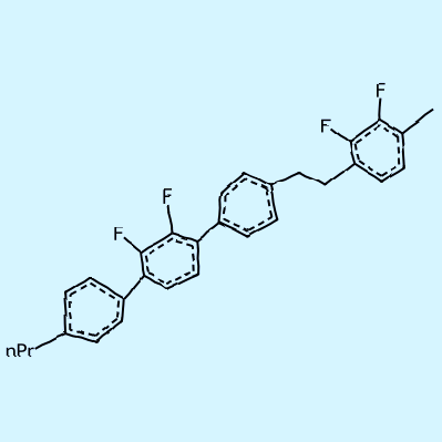 CCCc1ccc(-c2ccc(-c3ccc(CCc4ccc(C)c(F)c4F)cc3)c(F)c2F)cc1